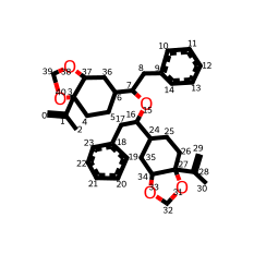 C=C(C)C12CCC(C(Cc3ccccc3)OC(Cc3ccccc3)C3CCC4(C(=C)C)OCOC4C3)CC1OCO2